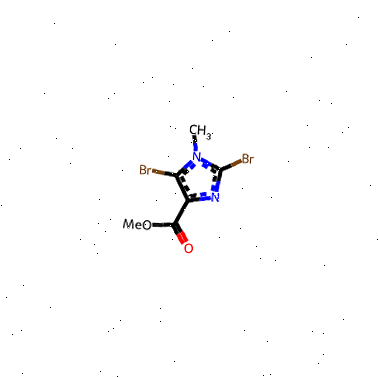 COC(=O)c1nc(Br)n(C)c1Br